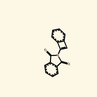 O=C1c2ccccc2C(=O)N1C1=Cc2ccccc21